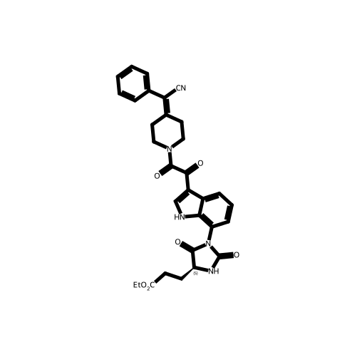 CCOC(=O)CC[C@@H]1NC(=O)N(c2cccc3c(C(=O)C(=O)N4CCC(=C(C#N)c5ccccc5)CC4)c[nH]c23)C1=O